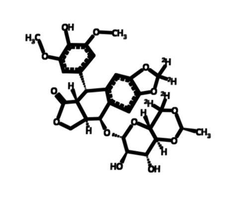 [2H]C1([2H])Oc2cc3c(cc2O1)[C@@H](O[C@@H]1O[C@H]2[C@@H](O[C@H](C)OC2([2H])[2H])[C@H](O)[C@H]1O)[C@H]1COC(=O)[C@@H]1[C@@H]3c1cc(OC)c(O)c(OC)c1